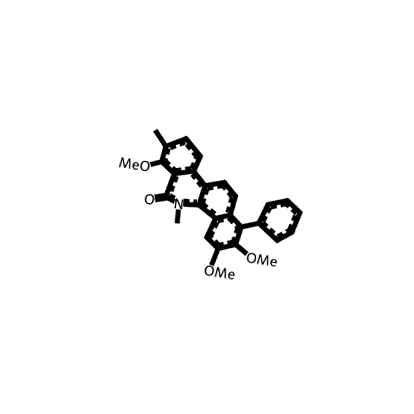 COc1cc2c(ccc3c4ccc(C)c(OC)c4c(=O)n(C)c23)c(-c2ccccc2)c1OC